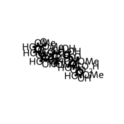 COC(=O)C1OC(OC2C(C(=O)O)OC(OC3C(C(=O)OC)OC(OC4C(C(=O)O)OC(OC5C(C(=O)OC)OC(OC6C(C(=O)O)OC(OC)C(O)C6O)C(O)C5O)C(O)C4O)C(O)C3O)C(O)C2O)C(O)C(O)C1OC